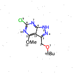 CCCCOCc1n[nH]c2nc(Cl)nc(OC)c12